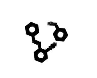 CCCCCCCCCCc1ccccc1.N#[N+]c1ccccc1N=Nc1ccccc1